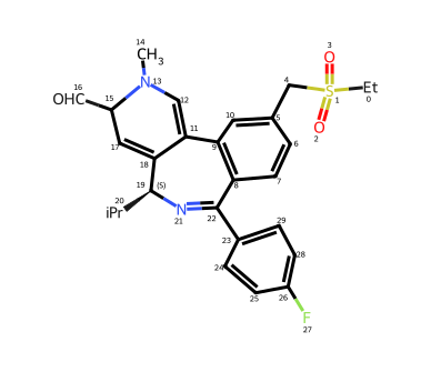 CCS(=O)(=O)Cc1ccc2c(c1)C1=CN(C)C(C=O)C=C1[C@H](C(C)C)N=C2c1ccc(F)cc1